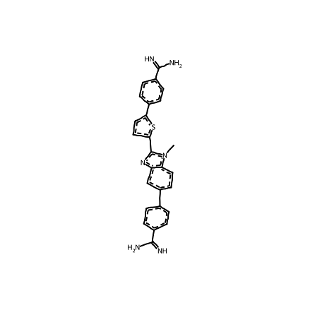 Cn1c(-c2ccc(-c3ccc(C(=N)N)cc3)s2)nc2cc(-c3ccc(C(=N)N)cc3)ccc21